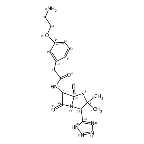 CC1(C)S[C@H]2C(NC(=O)Cc3cccc(OCCN)c3)C(=O)N2C1c1nnn[nH]1